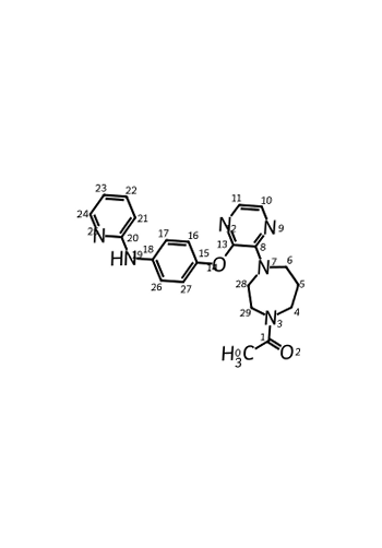 CC(=O)N1CCCN(c2nccnc2Oc2ccc(Nc3ccccn3)cc2)CC1